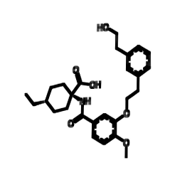 CC[C@H]1CC[C@](NC(=O)c2ccc(OC)c(OCCc3cccc(CCO)c3)c2)(C(=O)O)CC1